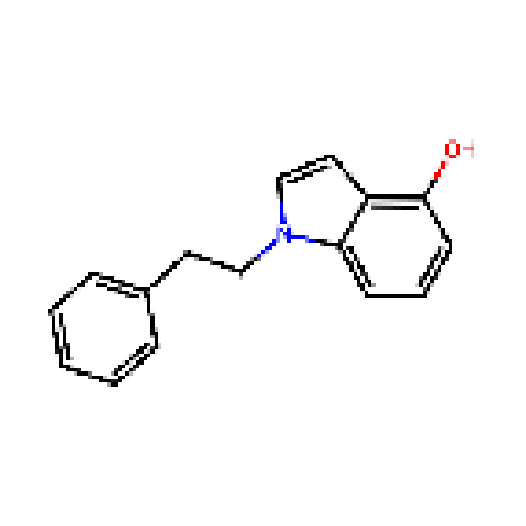 Oc1cccc2c1ccn2[CH]Cc1ccccc1